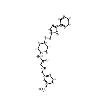 O=C(CNCc1cc(C(=O)O)ccn1)NC1CCC(CCc2ccc(-c3ccccc3)o2)CC1